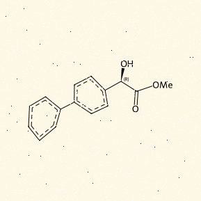 COC(=O)[C@H](O)c1ccc(-c2ccccc2)cc1